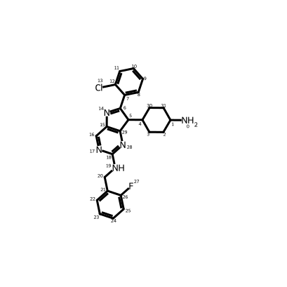 NC1CCC(C2C(c3ccccc3Cl)=Nc3cnc(NCc4ccccc4F)nc32)CC1